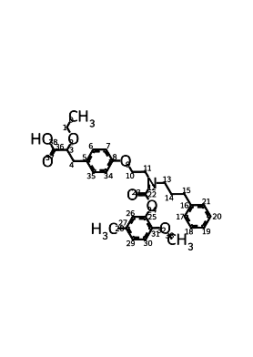 CCOC(Cc1ccc(OCCN(CCCc2ccccc2)C(=O)Oc2cc(C)ccc2OC)cc1)C(=O)O